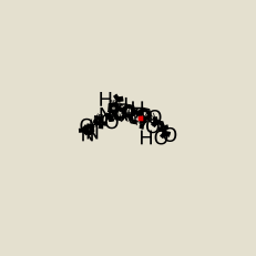 C=C(C)[C@@H]1CC[C@]2(C(=O)N[C@@H]3C[C@H](c4nnc(C)o4)C3(C)C)CC[C@]3(C)C(CC[C@H]4[C@@]3(C)CC[C@@]35C(C)C3(C)[C@@H](OC(=O)CC(C)(C)C(=O)O)CC[C@]45C)[C@@H]12